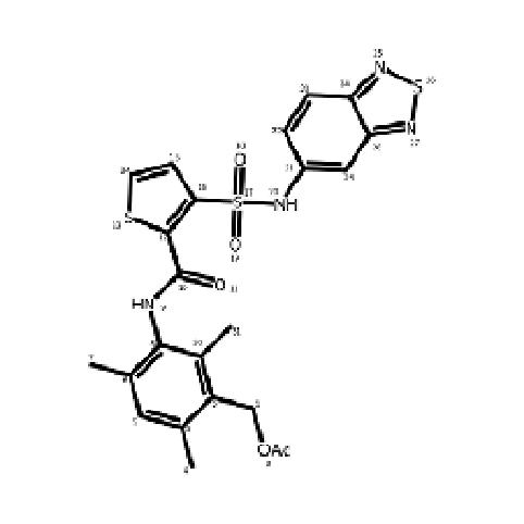 CC(=O)OCc1c(C)cc(C)c(NC(=O)c2sccc2S(=O)(=O)Nc2ccc3nsnc3c2)c1C